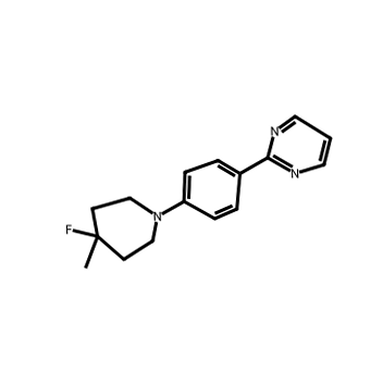 CC1(F)CCN(c2ccc(-c3ncccn3)cc2)CC1